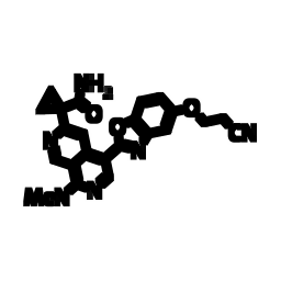 CNc1ncc(-c2nc3cc(OCCC#N)ccc3o2)c2cc(C3(C(N)=O)CC3)ncc12